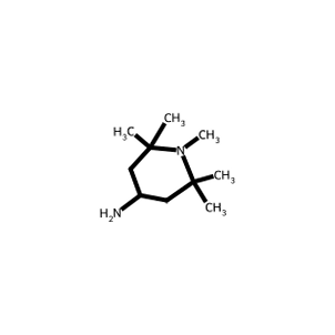 CN1C(C)(C)[CH]C(N)CC1(C)C